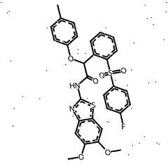 COc1cc2nc(NC(=O)C(Oc3ccc(C)cc3)c3ccccc3S(=O)(=O)c3ccc(F)cc3)sc2cc1OC